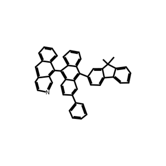 CC1(C)c2ccccc2-c2ccc(-c3c4ccccc4c(-c4c5ccccc5cc5ccncc45)c4ccc(-c5ccccc5)cc34)cc21